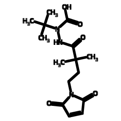 CC(C)(CCN1C(=O)C=CC1=O)C(=O)NN(C(=O)O)C(C)(C)C